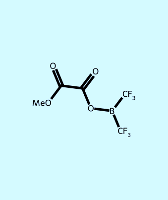 COC(=O)C(=O)OB(C(F)(F)F)C(F)(F)F